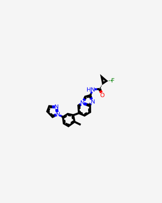 Cc1ccc(-n2cccn2)cc1-c1ccc2nc(NC(=O)[C@@H]3C[C@@H]3F)cn2c1